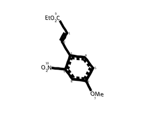 CCOC(=O)C=Cc1ccc(OC)cc1[N+](=O)[O-]